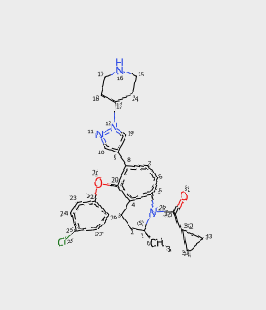 C[C@H]1CCc2c(ccc(-c3cnn(C4CCNCC4)c3)c2Oc2ccc(Cl)cc2)N1C(=O)C1CC1